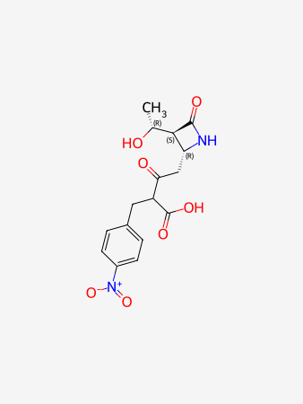 C[C@@H](O)[C@H]1C(=O)N[C@@H]1CC(=O)C(Cc1ccc([N+](=O)[O-])cc1)C(=O)O